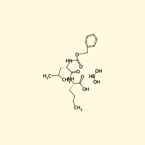 CCCC[C@H](NC(=O)[C@H](CC(C)C)NC(=O)OCc1ccccc1)C(=O)O.OBO